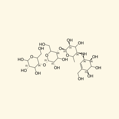 CC1O[C@@H](O[C@H]2C(CO)O[C@@H](O[C@H]3C(CO)OC(O)[C@@H](O)C3O)[C@@H](O)C2O)[C@@H](O)C(O)[C@H]1N[C@@H]1C=C(CO)[C@H](O)C(O)[C@@H]1O